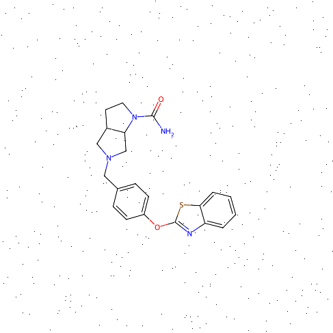 NC(=O)N1CCC2CN(Cc3ccc(Oc4nc5ccccc5s4)cc3)CC21